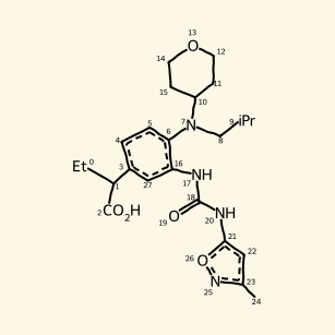 CCC(C(=O)O)c1ccc(N(CC(C)C)C2CCOCC2)c(NC(=O)Nc2cc(C)no2)c1